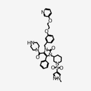 Cn1cc(S(=O)(=O)N2CCCC(n3c(-c4ccccc4)c(C(=O)N4CCNCC4)n(Cc4cccc(OCCOc5cccnc5)c4)c3=O)C2)cn1